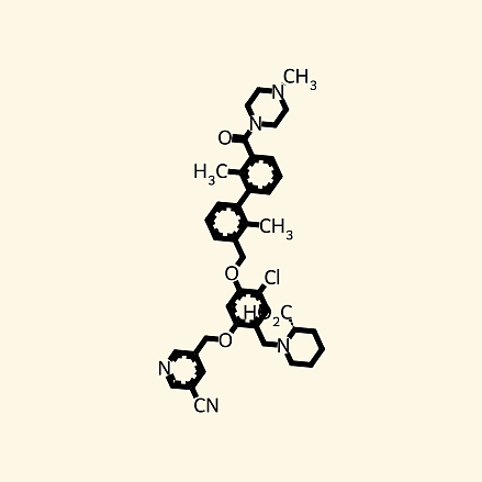 Cc1c(COc2cc(OCc3cncc(C#N)c3)c(CN3CCCC[C@H]3C(=O)O)cc2Cl)cccc1-c1cccc(C(=O)N2CCN(C)CC2)c1C